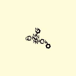 c1ccc(CN2CCC(n3nnc4c(N5CCOCC5)nc(-c5cccnc5)nc43)CC2)cc1